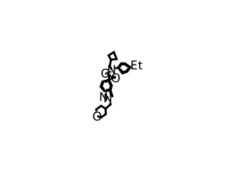 CCc1ccc(N(CC2CCC2)S(=O)(=O)c2ccc3nn(CC4CCOCC4)cc3c2)cc1